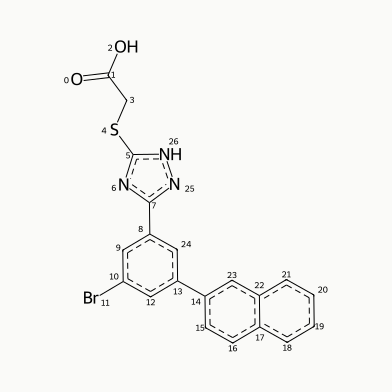 O=C(O)CSc1nc(-c2cc(Br)cc(-c3ccc4ccccc4c3)c2)n[nH]1